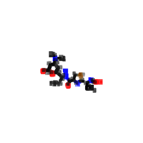 CCCC(NC(=O)C1CSC(/C(C)=N/O)=N1)c1cc(N(CC)CC)cc(=O)o1